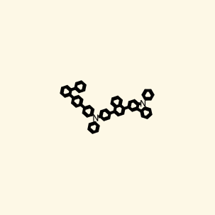 c1ccc(-c2ccccc2-c2ccc(-c3ccc(N(c4ccccc4)c4ccc(-c5ccc(-c6ccc7c(c6)c6ccccc6n7-c6ccccc6)c6ccccc56)cc4)cc3)cc2)cc1